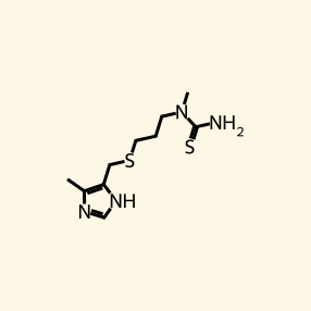 Cc1nc[nH]c1CSCCCN(C)C(N)=S